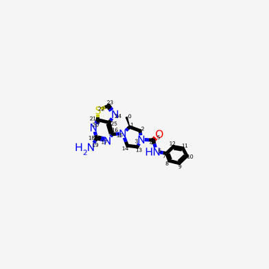 C[C@H]1CN(C(=O)Nc2cc[c]cc2)CCN1c1nc(N)nc2scnc12